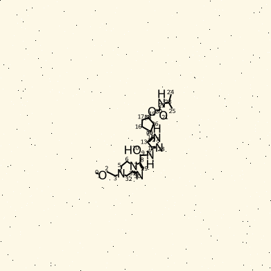 COCCN1CCn2c(C(O)Nc3cc([C@@H]4CC[C@H](OC(=O)NC(C)C)C4)[nH]n3)cnc2C1